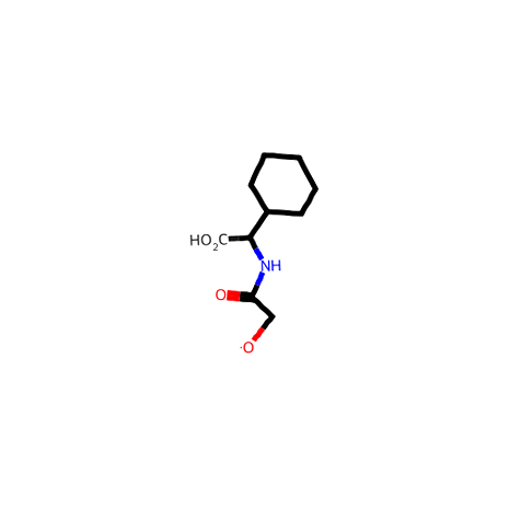 [O]CC(=O)NC(C(=O)O)C1CCCCC1